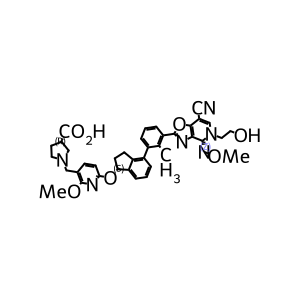 CO/N=c1/c2nc(-c3cccc(-c4cccc5c4CC[C@@H]5Oc4ccc(CN5CC[C@@H](C(=O)O)C5)c(OC)n4)c3C)oc2c(C#N)cn1CCO